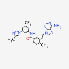 Cc1cn(-c2cc(NC(=O)c3ccc(C)c(C=Cn4cnc5c(N)ncnc54)c3)cc(C(F)(F)F)c2)cn1